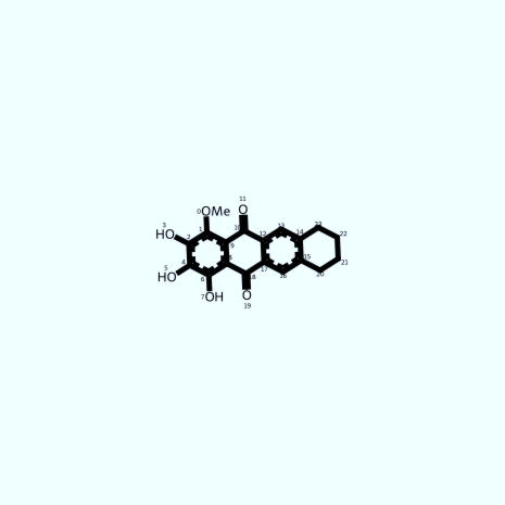 COc1c(O)c(O)c(O)c2c1C(=O)c1cc3c(cc1C2=O)CCCC3